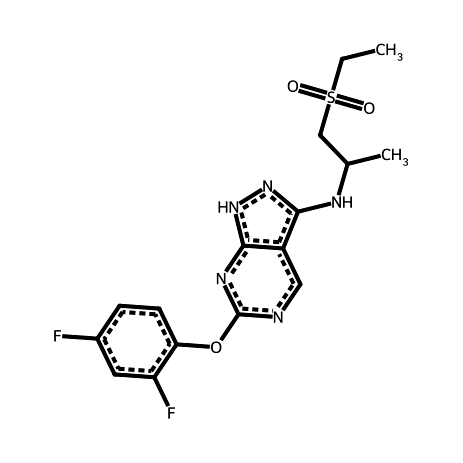 CCS(=O)(=O)CC(C)Nc1n[nH]c2nc(Oc3ccc(F)cc3F)ncc12